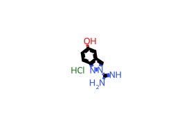 Cl.N=C(N)n1cc2cc(O)ccc2n1